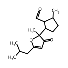 CC(C)CC1=CC(=O)C(C)(C2CCC(C)C2C=O)O1